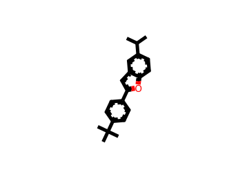 CC(C)c1ccc2oc(-c3ccc(C(C)(C)C)cc3)cc2c1